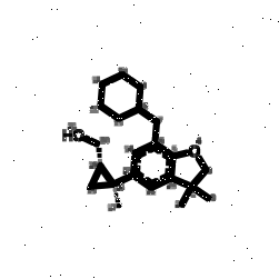 CC1(C)COc2c(CC3CCCCC3)cc([C@@]3(C)C[C@@H]3CO)cc21